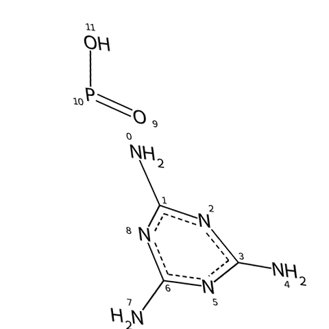 Nc1nc(N)nc(N)n1.O=PO